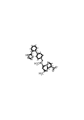 Cc1cc(N(C)Cc2ccc(-c3ccccc3-c3nnn[nH]3)cc2)n2ncc([N+](=O)[O-])c2n1